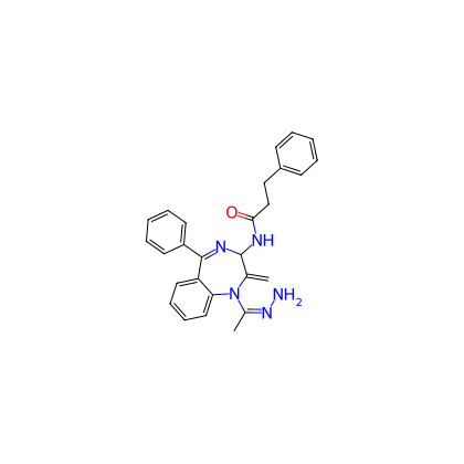 C=C1C(NC(=O)CCc2ccccc2)N=C(c2ccccc2)c2ccccc2N1/C(C)=N\N